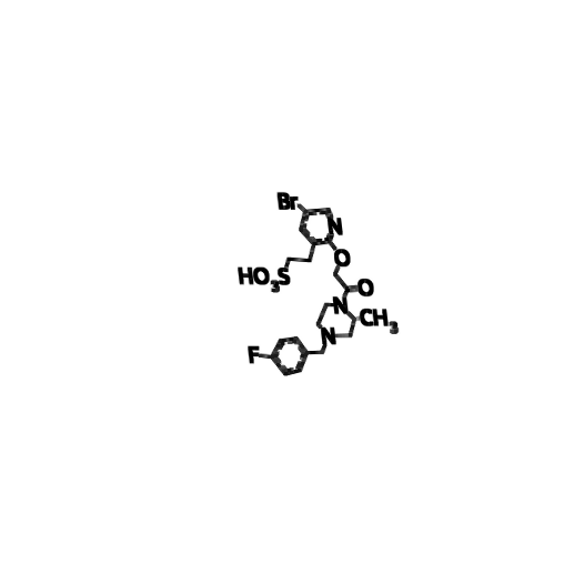 C[C@@H]1CN(Cc2ccc(F)cc2)CCN1C(=O)COc1ncc(Br)cc1CCS(=O)(=O)O